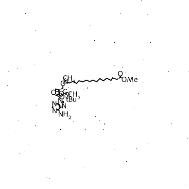 COC(=O)CCCCCCCCCCCCCCCN(C)OC[C@]12COC(C1O[Si](C)(C)C(C)(C)C)[C@H](n1cnc3c(N)ncnc31)O2